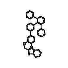 c1ccc(-c2cccc(-c3ccccc3)c2-c2cccc(-c3ccc4c(c3)OCc3nc5ccccc5n3-4)c2)cc1